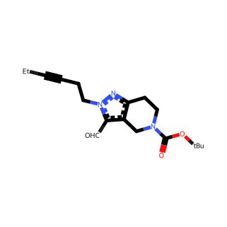 CCC#CCCn1nc2c(c1C=O)CN(C(=O)OC(C)(C)C)CC2